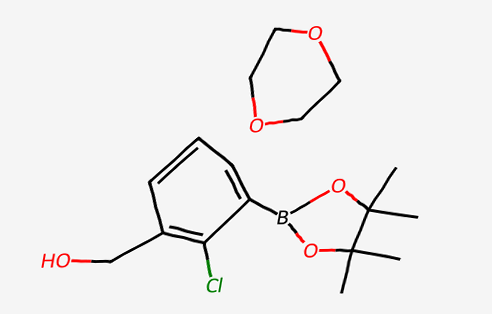 C1COCCO1.CC1(C)OB(c2cccc(CO)c2Cl)OC1(C)C